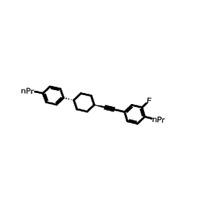 CCCc1ccc([C@H]2CC[C@H](C#Cc3ccc(CCC)c(F)c3)CC2)cc1